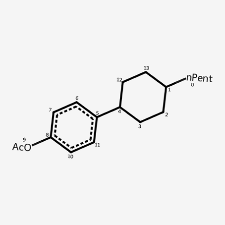 CCCCCC1CCC(c2ccc(OC(C)=O)cc2)CC1